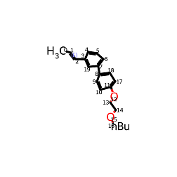 C/C=C/c1cccc(-c2ccc(OCCOCCCC)cc2)c1